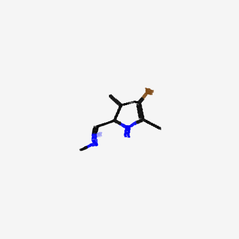 C/N=C/C1NC(C)=C(Br)C1C